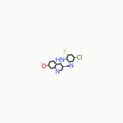 COc1ccc2c(Nc3ccc(Cl)cc3F)c(C#N)cnc2c1